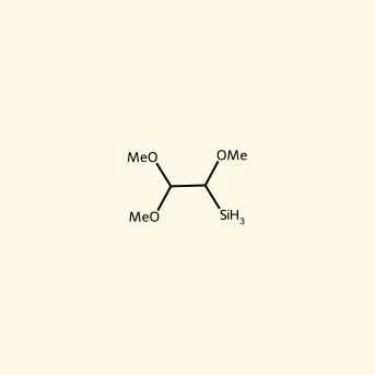 COC([SiH3])C(OC)OC